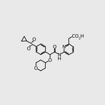 O=C(O)Cc1cccc(NC(=O)C(OC2CCOCC2)c2ccc(S(=O)(=O)C3CC3)cc2)n1